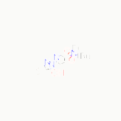 CCN(C(C)(C)C)S(=O)(=O)c1ccc(-n2nc3c(c2O)CSC3)nc1